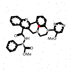 COC(=O)N(NC(=O)c1c(CN2CCN(c3ncncc3OC)CC2)c(-c2ccccc2)nc2ccccc12)c1ccccc1